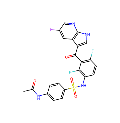 CC(=O)Nc1ccc(S(=O)(=O)Nc2ccc(F)c(C(=O)c3c[nH]c4ncc(I)cc34)c2F)cc1